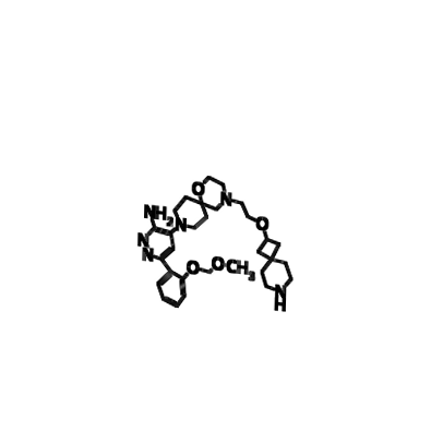 COCOc1ccccc1-c1cc(N2CCC3(CC2)CN(CCOC2CC4(CCNCC4)C2)CCO3)c(N)nn1